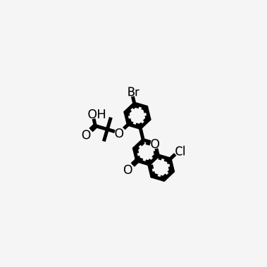 CC(C)(Oc1cc(Br)ccc1-c1cc(=O)c2cccc(Cl)c2o1)C(=O)O